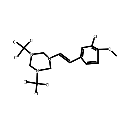 COc1ccc(/C=C/N2CN(C(Cl)(Cl)Cl)CN(C(Cl)(Cl)Cl)C2)cc1Cl